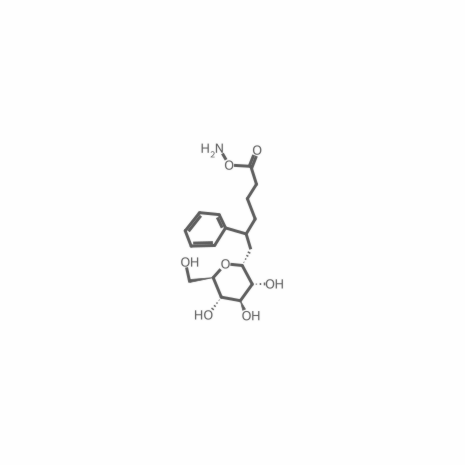 NOC(=O)CCCC(C[C@H]1O[C@H](CO)[C@@H](O)[C@H](O)[C@H]1O)c1ccccc1